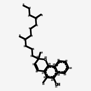 CCCC(C)CCCC(C)CCCC1(C)C=Cc2c(C)c(O)c3ccccc3c2O1